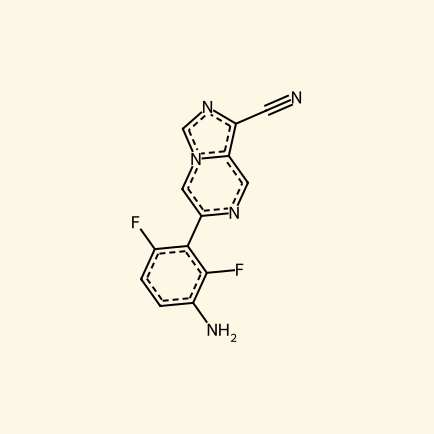 N#Cc1ncn2cc(-c3c(F)ccc(N)c3F)ncc12